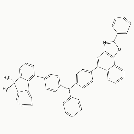 CC1(C)c2ccccc2-c2c(-c3ccc(N(c4ccccc4)c4ccc(-c5cc6nc(-c7ccccc7)oc6c6ccccc56)cc4)cc3)cccc21